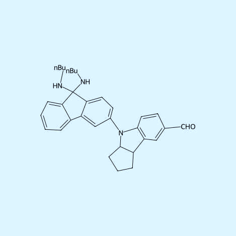 CCCCNC1(NCCCC)c2ccccc2-c2cc(N3c4ccc(C=O)cc4C4CCCC43)ccc21